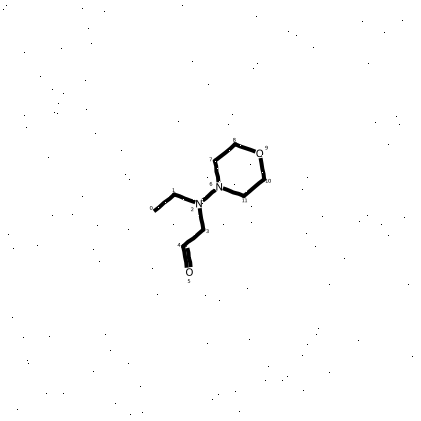 CCN(C[C]=O)N1CCOCC1